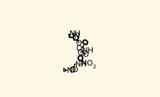 O=C(NS(=O)(=O)c1ccc(NCC2CN(C3CC3)CCO2)c([N+](=O)[O-])c1)c1ccccc1Oc1cnc2[nH]ccc2c1